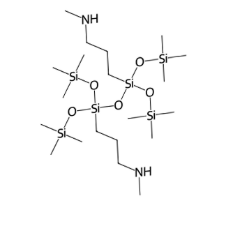 CNCCC[Si](O[Si](C)(C)C)(O[Si](C)(C)C)O[Si](CCCNC)(O[Si](C)(C)C)O[Si](C)(C)C